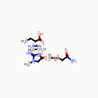 CC(=O)O.CC(N)=O.CCCC(=O)O.CN1CC(=O)NC1=N.CNC.NC(=O)CO